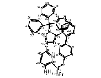 CCCN(Cc1ccc(-c2ccccc2-c2nnnn2C(c2ccccc2)(c2ccccc2)c2ccccc2)cc1)c1nc(Cl)ccc1N